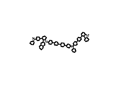 CN(c1ccccc1)c1ccc(-c2cccc3c2c2cc4ccccc4cc2n3-c2ccc(-c3ccc(-c4ccc(-c5ccc(N(c6ccccc6)c6ccc(-c7ccc(-c8cccc9c8c8ccccc8n9C)cc7)cc6)cc5)cc4)cc3)cc2)cc1